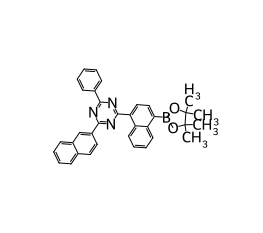 CC1(C)OB(c2ccc(-c3nc(-c4ccccc4)nc(-c4ccc5ccccc5c4)n3)c3ccccc23)OC1(C)C